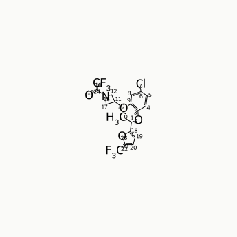 CC(Oc1ccc(Cl)cc1OC1CN(C(=O)C(F)(F)F)C1)c1ccc(C(F)(F)F)o1